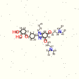 CCCCn1c(-c2ccc(Oc3cccc(O)c3O)cc2)nc2c(OCCCN(CC)CC)cc(OCCCN(CC)CC)cc21